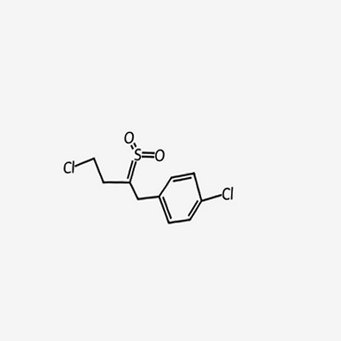 O=S(=O)=C(CCCl)Cc1ccc(Cl)cc1